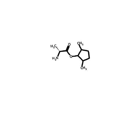 CC1CCC(C)C1OC(=O)[C@@H](C)N